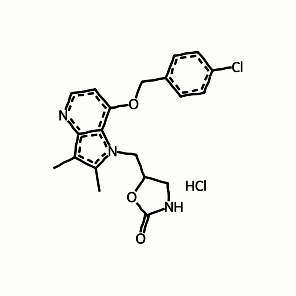 Cc1c(C)n(CC2CNC(=O)O2)c2c(OCc3ccc(Cl)cc3)ccnc12.Cl